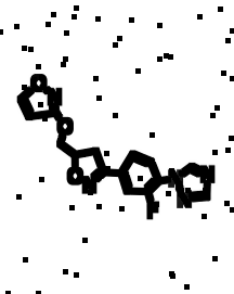 Fc1cc(C2=NOC(COc3ccon3)C2)ccc1-n1cncn1